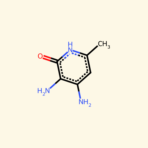 Cc1cc(N)c(N)c(=O)[nH]1